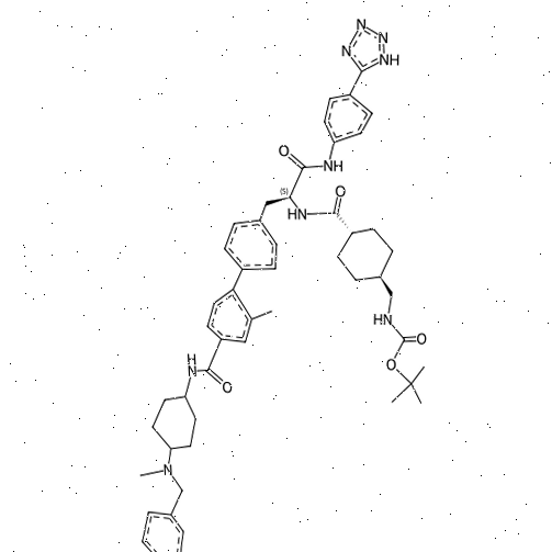 Cc1cc(C(=O)NC2CCC(N(C)Cc3ccccc3)CC2)ccc1-c1ccc(C[C@H](NC(=O)[C@H]2CC[C@H](CNC(=O)OC(C)(C)C)CC2)C(=O)Nc2ccc(-c3nnn[nH]3)cc2)cc1